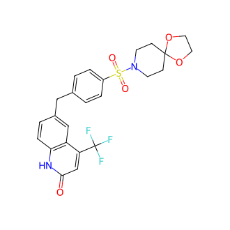 O=c1cc(C(F)(F)F)c2cc(Cc3ccc(S(=O)(=O)N4CCC5(CC4)OCCO5)cc3)ccc2[nH]1